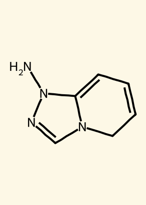 NN1N=CN2CC=CC=C21